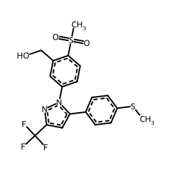 CSc1ccc(-c2cc(C(F)(F)F)nn2-c2ccc(S(C)(=O)=O)c(CO)c2)cc1